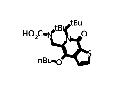 CCCCOc1c(CN(C(=O)O)C(C)(C)C)n(CC(C)(C)C)c(=O)c2sccc12